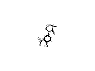 CN(C)C(=O)N(CCl)c1ccc(Cl)c([N+](=O)[O-])c1